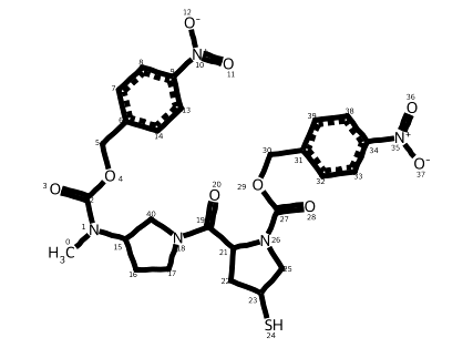 CN(C(=O)OCc1ccc([N+](=O)[O-])cc1)C1CCN(C(=O)C2CC(S)CN2C(=O)OCc2ccc([N+](=O)[O-])cc2)C1